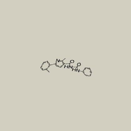 Cc1ccccc1-c1ccc(C(=O)NC(=O)Nc2ccccc2)c(C)n1